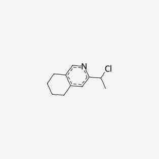 CC(Cl)c1cc2c(cn1)CCCC2